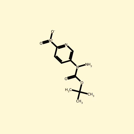 CC(C)(C)OC(=O)N(N)c1ccc([N+](=O)[O-])nc1